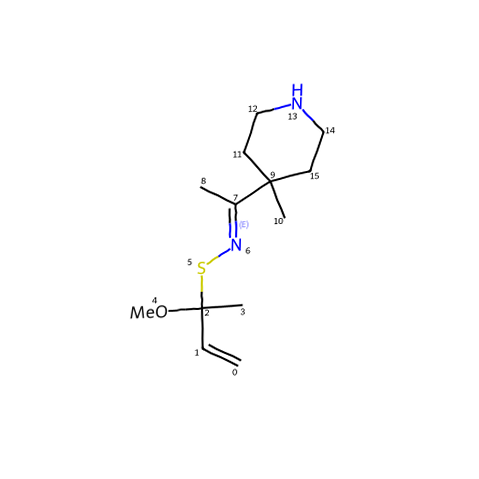 C=CC(C)(OC)S/N=C(\C)C1(C)CCNCC1